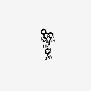 O=[N+]([O-])c1ccc(NCCNc2nccc(-c3ccccc3-c3c[nH]cn3)n2)nc1